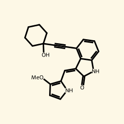 COc1cc[nH]c1C=C1C(=O)Nc2cccc(C#CC3(O)CCCCC3)c21